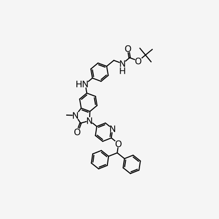 Cn1c(=O)n(-c2ccc(OC(c3ccccc3)c3ccccc3)nc2)c2ccc(Nc3ccc(CNC(=O)OC(C)(C)C)cc3)cc21